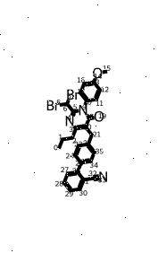 CCCc1nc(C(Br)Br)n(-c2ccc(OC)cc2)c(=O)c1Cc1ccc(-c2ccccc2C#N)cc1